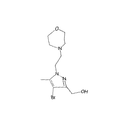 Cc1c(Br)c(CO)nn1CCN1CCOCC1